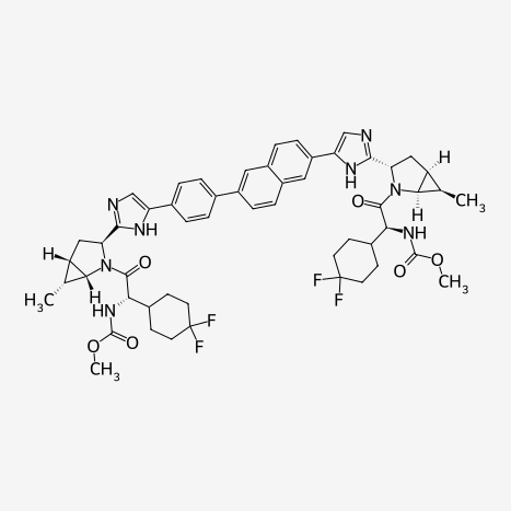 COC(=O)N[C@H](C(=O)N1[C@@H]2[C@H](C)[C@@H]2C[C@H]1c1ncc(-c2ccc(-c3ccc4cc(-c5cnc([C@@H]6C[C@H]7[C@@H](C)[C@H]7N6C(=O)[C@@H](NC(=O)OC)C6CCC(F)(F)CC6)[nH]5)ccc4c3)cc2)[nH]1)C1CCC(F)(F)CC1